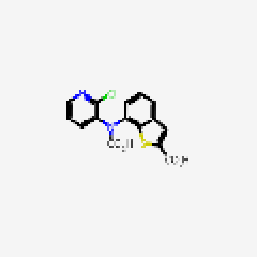 O=C(O)c1cc2cccc(N(C(=O)O)c3cccnc3Cl)c2s1